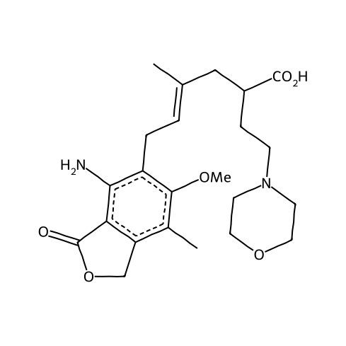 COc1c(C)c2c(c(N)c1C/C=C(\C)CC(CCN1CCOCC1)C(=O)O)C(=O)OC2